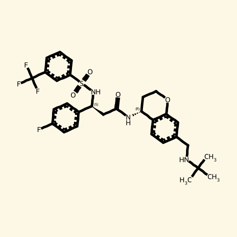 CC(C)(C)NCc1ccc2c(c1)OCC[C@H]2NC(=O)C[C@H](NS(=O)(=O)c1cccc(C(F)(F)F)c1)c1ccc(F)cc1